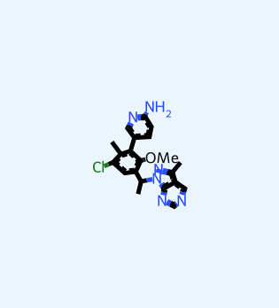 COc1c(C(C)n2nc(C)c3cncnc32)cc(Cl)c(C)c1-c1ccc(N)nc1